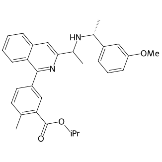 COc1cccc([C@@H](C)NC(C)c2cc3ccccc3c(-c3ccc(C)c(C(=O)OC(C)C)c3)n2)c1